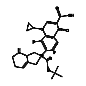 CC(C)(C)OC(=O)[N+]1(c2c(F)cc3c(=O)c(C(=O)O)cn(C4CC4)c3c2F)CC2=CCCNC2C1